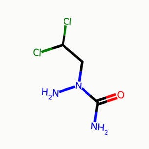 NC(=O)N(N)CC(Cl)Cl